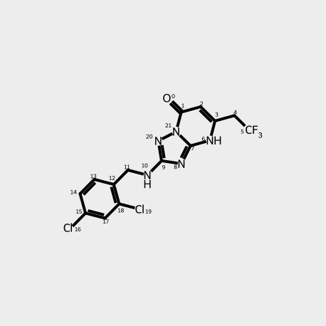 O=c1cc(CC(F)(F)F)[nH]c2nc(NCc3ccc(Cl)cc3Cl)nn12